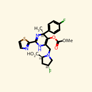 COC(=O)OC1=C(CN2C[C@H](F)C[C@H]2C(=O)O)NC(c2nccs2)=N[C@@]1(C)c1ccc(F)cc1